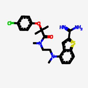 CN(CCN(C)c1cccc2sc(C(=N)N)cc12)C(=O)C(C)(C)Oc1ccc(Cl)cc1